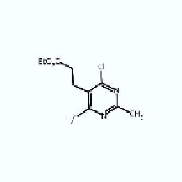 CCOC(=O)CCc1c(Cl)nc(C)nc1C(F)(F)F